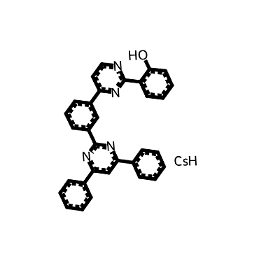 Oc1ccccc1-c1nccc(-c2cccc(-c3nc(-c4ccccc4)cc(-c4ccccc4)n3)c2)n1.[CsH]